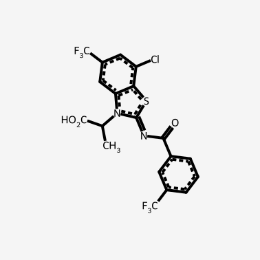 CC(C(=O)O)n1c(=NC(=O)c2cccc(C(F)(F)F)c2)sc2c(Cl)cc(C(F)(F)F)cc21